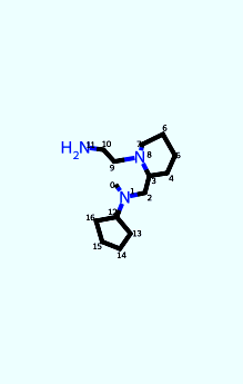 CN(CC1CCCCN1CCN)C1CCCC1